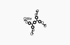 COC(C)COc1ccc(C(c2ccc(OCC3CO3)cc2)c2ccc(C(c3ccc(OCC4CO4)cc3)c3ccc(OCC4CO4)cc3)cc2)cc1